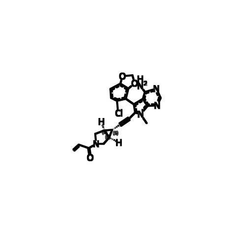 C=CC(=O)N1C[C@@H]2[C@@H](C#Cc3c(-c4c(Cl)ccc5c4OCO5)c4c(N)ncnc4n3C)[C@@H]2C1